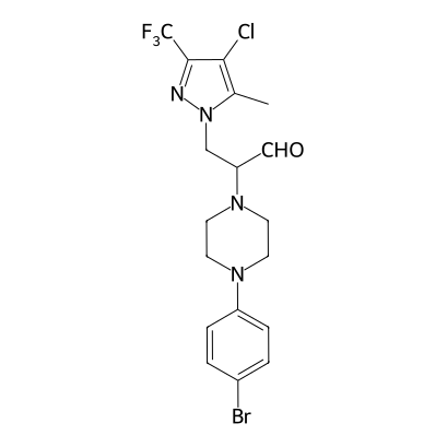 Cc1c(Cl)c(C(F)(F)F)nn1CC(C=O)N1CCN(c2ccc(Br)cc2)CC1